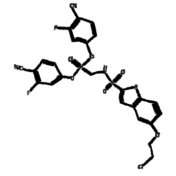 N#Cc1ccc(OP(=O)(CNS(=O)(=O)c2cc3cc(OCCCl)ccc3s2)Oc2ccc(C#N)c(F)c2)cc1F